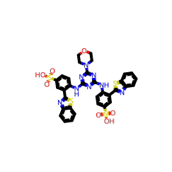 O=S(=O)(O)c1ccc(Nc2nc(Nc3ccc(S(=O)(=O)O)cc3-c3nc4ccccc4s3)nc(N3CCOCC3)n2)c(-c2nc3ccccc3s2)c1